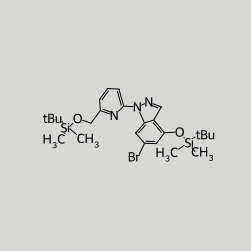 CC(C)(C)[Si](C)(C)OCc1cccc(-n2ncc3c(O[Si](C)(C)C(C)(C)C)cc(Br)cc32)n1